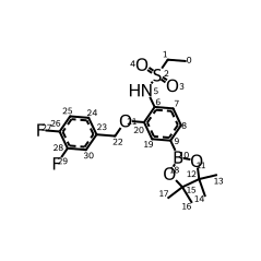 CCS(=O)(=O)Nc1ccc(B2OC(C)(C)C(C)(C)O2)cc1OCc1ccc(F)c(F)c1